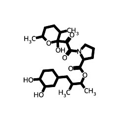 CC1CCC(C)C(O)(C(=O)C(=O)N2CCCC2C(=O)OC(C)C(C)CC2CCC(O)C(O)C2)O1